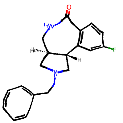 O=C1NC[C@@H]2CN(Cc3ccccc3)C[C@H]2c2cc(F)ccc21